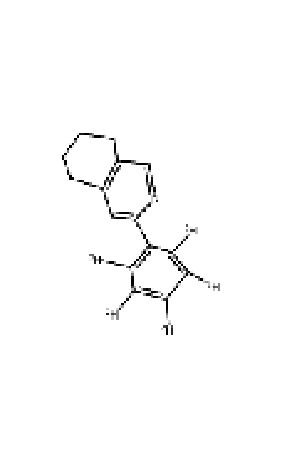 [2H]c1c([2H])c([2H])c(-c2cc3c(cn2)CCCC3)c([2H])c1[2H]